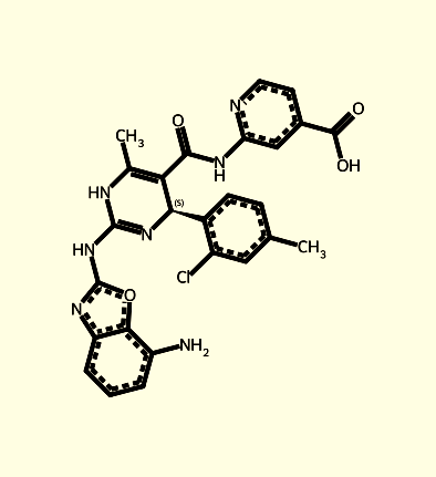 CC1=C(C(=O)Nc2cc(C(=O)O)ccn2)[C@@H](c2ccc(C)cc2Cl)N=C(Nc2nc3cccc(N)c3o2)N1